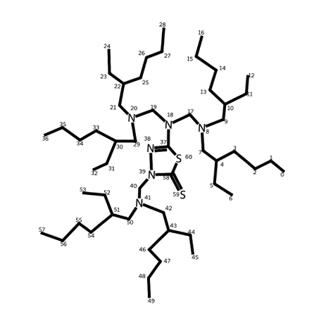 CCCCC(CC)CN(CC(CC)CCCC)CN(CN(CC(CC)CCCC)CC(CC)CCCC)c1nn(CN(CC(CC)CCCC)CC(CC)CCCC)c(=S)s1